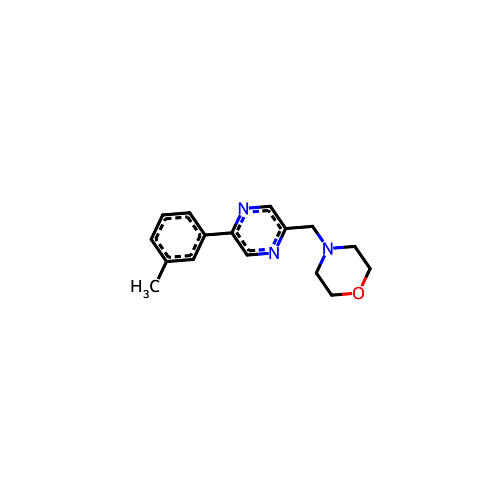 Cc1cccc(-c2cnc(CN3CCOCC3)cn2)c1